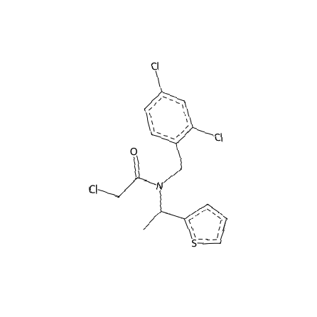 CC(c1cccs1)N(Cc1ccc(Cl)cc1Cl)C(=O)CCl